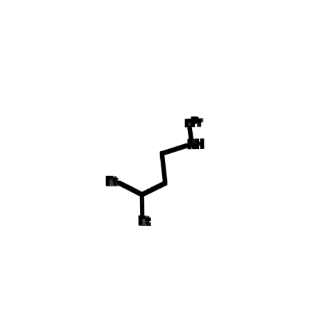 CCCNCCC(CC)CC